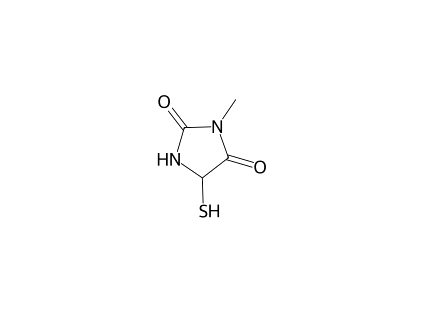 CN1C(=O)NC(S)C1=O